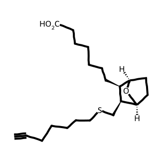 C#CCCCCCSC[C@H]1[C@@H](CCCCCCC(=O)O)[C@H]2CC[C@@H]1O2